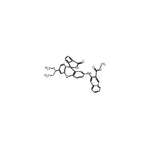 CCN(CC)c1ccc2c(c1)Oc1ccc(Nc3cc4ccccc4cc3C(=O)OC)cc1C21OC(=O)c2ccccc21